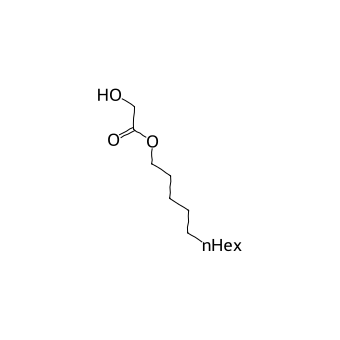 CCCCCCCCCCCOC(=O)CO